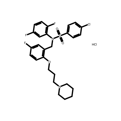 Cl.O=S(=O)(c1ccc(Cl)cc1)N(Cc1cc(F)ccc1OCCCN1CCCCC1)c1cc(F)ccc1F